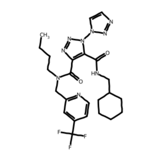 CCCCN(Cc1cc(C(F)(F)F)ccn1)C(=O)c1nnn(-n2ccnn2)c1C(=O)NCC1CCCCC1